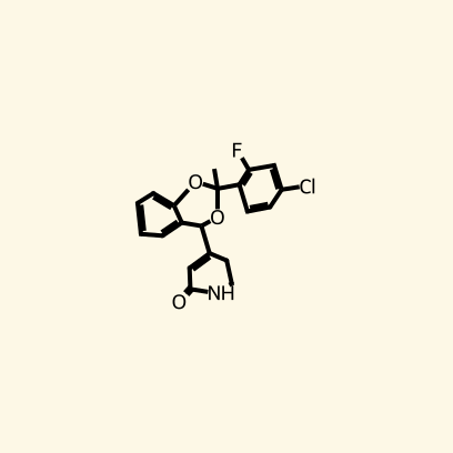 CC1(c2ccc(Cl)cc2F)Oc2ccccc2C(C2=CC(=O)NCC2)O1